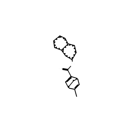 CC1=CC2C(C(=O)Oc3ccc4ccccc4c3)=CC1CC2C(C)C